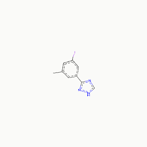 Cc1cc(I)cc(-c2nc[nH]n2)c1